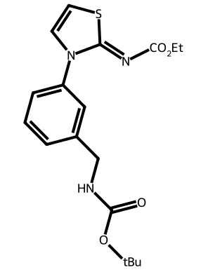 CCOC(=O)/N=c1\sccn1-c1cccc(CNC(=O)OC(C)(C)C)c1